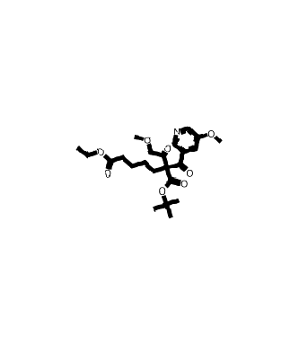 CCOC(=O)CCCCC(C(=O)COC)(C(=O)OC(C)(C)C)C(=O)c1cncc(OC)c1